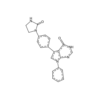 O=C1NCCN1c1ccc(-c2cn(-c3ccccc3)c3nc[nH]c(=O)c23)cc1